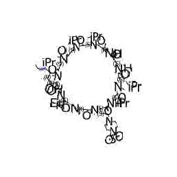 C/C=C/C[C@@H](C)[C@@H](O)[C@H]1C(=O)N[C@@H](CC)C(=O)N(C)[C@H](C)C(=O)N(C)[C@@H]([C@@H](C)CN2CCN(S(C)(=O)=O)CC2)C(=O)N[C@@H](C(C)C)C(=O)N(C)[C@@H](CC(C)C)C(=O)N[C@@H](C)C(=O)N[C@H](C)C(=O)N(C)[C@@H](CC(C)C)C(=O)N(C)[C@@H](CC(C)C)C(=O)N(C)[C@@H](C(C)C)C(=O)N1C